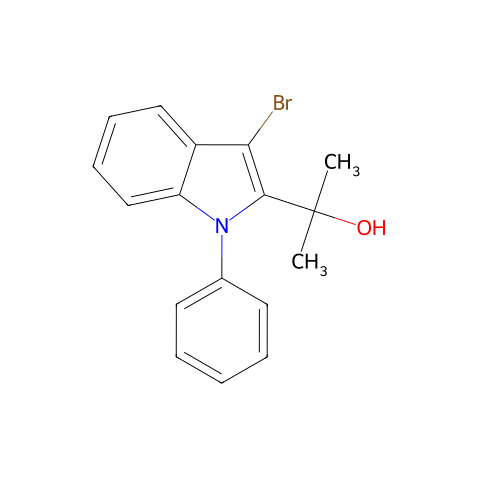 CC(C)(O)c1c(Br)c2ccccc2n1-c1ccccc1